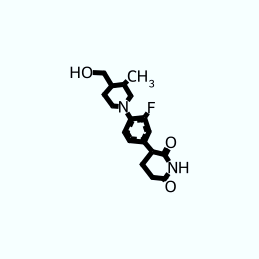 CC1CN(c2ccc(C3CCC(=O)NC3=O)cc2F)CCC1CO